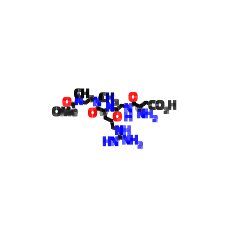 COC(=O)N(C)CCN(C)C(=O)[C@H](CCCNC(=N)N)NC(=O)CNC(=O)[C@@H](N)CC(=O)O